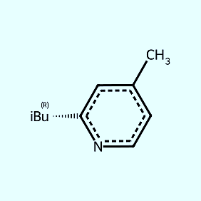 CC[C@@H](C)c1cc(C)ccn1